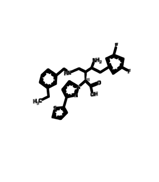 CCc1cccc(CNCC(C(N)Cc2cc(F)cc(F)c2)[C@@H](C(=O)O)n2ccc(-c3cccs3)n2)c1